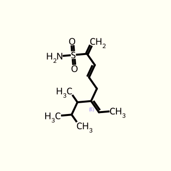 C=C(C=CC/C(=C\C)C(C)C(C)C)S(N)(=O)=O